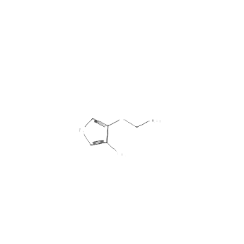 CCCCCSc1c[nH]cc1O